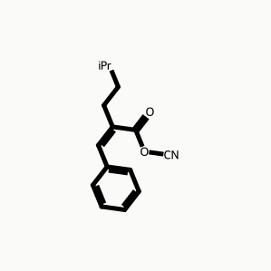 CC(C)CCC(=Cc1ccccc1)C(=O)OC#N